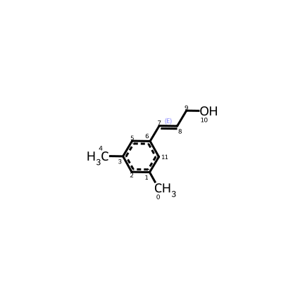 Cc1cc(C)cc(/C=C/CO)c1